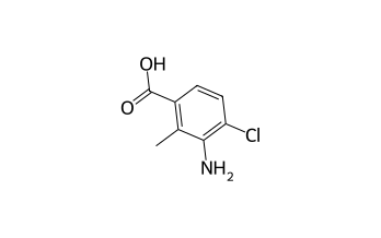 Cc1c(C(=O)O)ccc(Cl)c1N